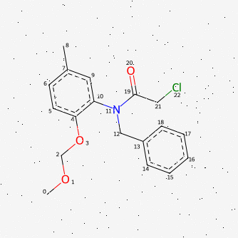 COCOc1ccc(C)cc1N(Cc1ccccc1)C(=O)CCl